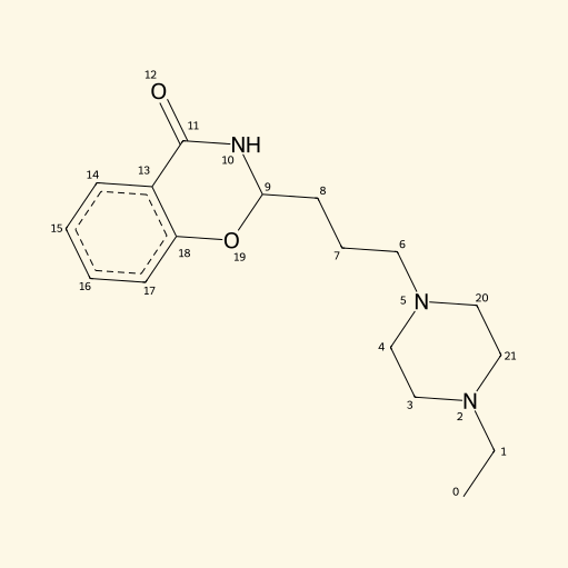 CCN1CCN(CCCC2NC(=O)c3ccccc3O2)CC1